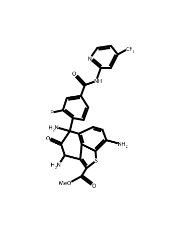 COC(=O)c1sc2c(N)ccc3c2c1C(N)C(=O)C3(N)c1ccc(C(=O)Nc2cc(C(F)(F)F)ccn2)cc1F